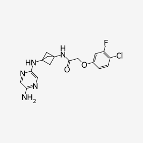 Nc1cnc(NC23CC(NC(=O)COc4ccc(Cl)c(F)c4)(C2)C3)cn1